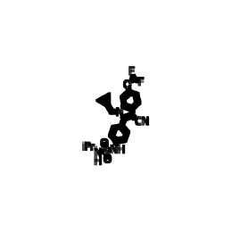 CC(C)NS(=O)(=O)Nc1ccc(-c2c(C#N)c3ccc(OC(F)F)cc3n2CC2CC2)cc1